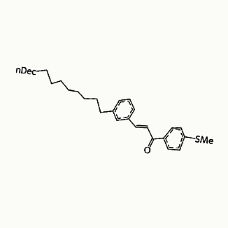 CCCCCCCCCCCCCCCCCCc1cccc(/C=C/C(=O)c2ccc(SC)cc2)c1